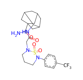 NC(=O)C12CC3CC(C1)C(NC(=O)CN1CCCN(c4ccc(C(F)(F)F)cc4)S1(=O)=O)C(C3)C2